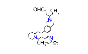 C=CC(CCC=O)N1CCc2ccc(CCC3CCCCN3C(=C)Cc3ccc(CC)nc3)cc2C1